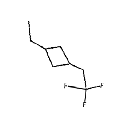 CCC1CC(CC(F)(F)F)C1